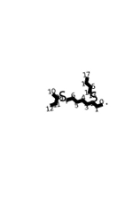 [CH2]CC(CCCCCSC(C)CC)SCCCC